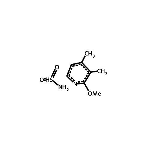 COc1nccc(C)c1C.N[SH](=O)=O